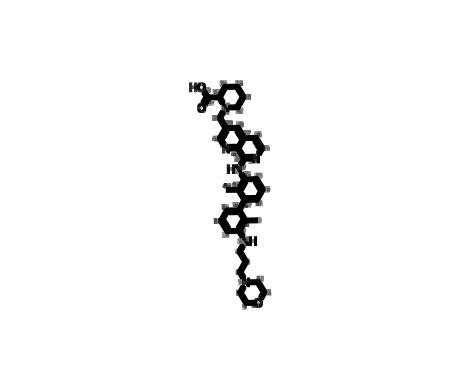 Cc1c(NCCCN2CCOCC2)cccc1-c1cccc(Nc2nccc3cc(CN4CCCCC4C(=O)O)cnc23)c1C